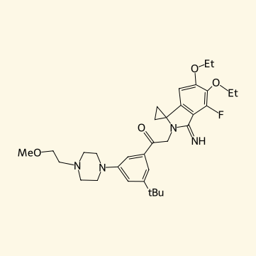 CCOc1cc2c(c(F)c1OCC)C(=N)N(CC(=O)c1cc(N3CCN(CCOC)CC3)cc(C(C)(C)C)c1)C21CC1